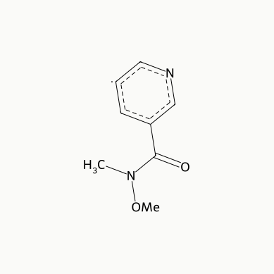 CON(C)C(=O)c1c[c]cnc1